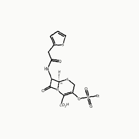 CCS(=O)(=O)OC1=C(C(=O)O)N2C(=O)C(NC(=O)Cc3cccs3)[C@H]2SC1